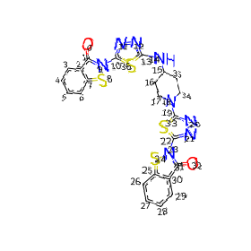 O=c1c2ccccc2sn1-c1nnc(NC2CCN(c3nnc(-n4sc5ccccc5c4=O)s3)CC2)s1